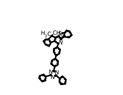 CC1(C)c2ccccc2-c2c(-c3ccc(-c4ccc(-c5nc(-c6ccccc6)nc(-c6ccccc6)n5)cc4)cc3)nc3c(sc4ccccc43)c21